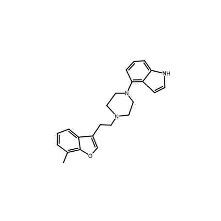 Cc1cccc2c(CCN3CCN(c4cccc5[nH]ccc45)CC3)coc12